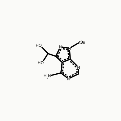 CC(C)(C)n1nc(C(O)O)c2c(N)ncnc21